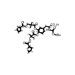 CC(C)(C)OC(=O)N[C@@H](Cc1ccc(OC(=O)C(C)(C)COC(=O)c2cccs2)c(OC(=O)C(C)(C)COC(=O)c2cccs2)c1)C(=O)O